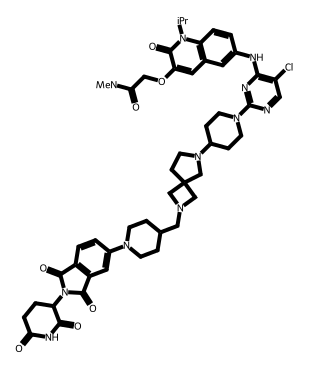 CNC(=O)COc1cc2cc(Nc3nc(N4CCC(N5CCC6(CN(CC7CCN(c8ccc9c(c8)C(=O)N(C8CCC(=O)NC8=O)C9=O)CC7)C6)C5)CC4)ncc3Cl)ccc2n(C(C)C)c1=O